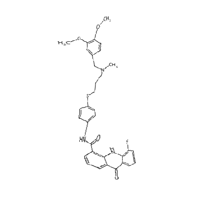 COc1ccc(CN(C)CCCSc2ccc(NC(=O)c3cccc4c(=O)c5cccc(F)c5[nH]c34)cc2)cc1OC